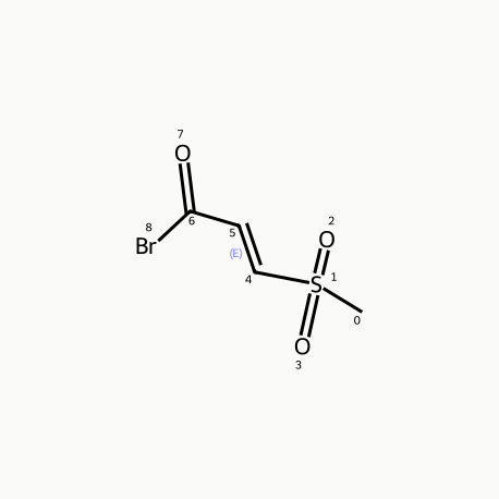 CS(=O)(=O)/C=C/C(=O)Br